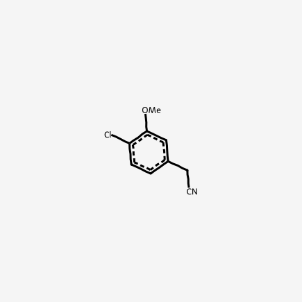 COc1cc(CC#N)ccc1Cl